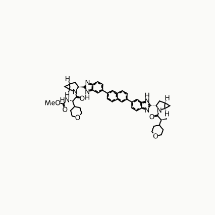 COC(=O)N[C@H](C(=O)N1[C@@H]2C[C@@H]2C[C@H]1c1nc2ccc(-c3ccc4cc(-c5ccc6nc([C@@H]7C[C@H]8C[C@H]8N7C(=O)[C@@H](C)C7CCOCC7)[nH]c6c5)ccc4c3)cc2[nH]1)C1CCOCC1